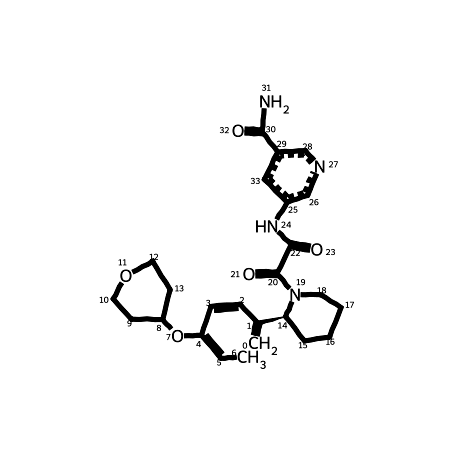 C=C(/C=C\C(=C/C)OC1CCOCC1)[C@@H]1CCCCN1C(=O)C(=O)Nc1cncc(C(N)=O)c1